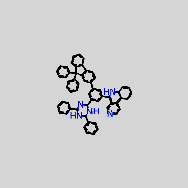 C1=CC2=c3ccncc3=C(c3cc(-c4ccc5c(c4)C(c4ccccc4)(c4ccccc4)c4ccccc4-5)cc(C4N=C(c5ccccc5)NC(c5ccccc5)N4)c3)NC2C=C1